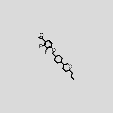 CCCC1CCC(C2CCC(COc3ccc(C4CO4)c(F)c3F)CC2)CO1